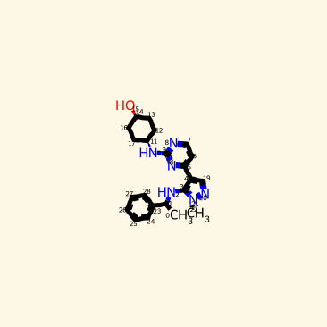 CC(Nc1c(-c2ccnc(N[C@H]3CC[C@H](O)CC3)n2)cnn1C)c1ccccc1